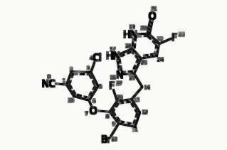 N#Cc1cc(Cl)cc(Oc2c(Br)ccc(Cc3n[nH]c4[nH]c(=O)c(F)cc34)c2F)c1